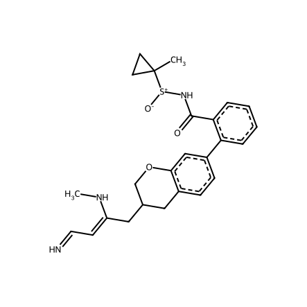 CN/C(=C\C=N)CC1COc2cc(-c3ccccc3C(=O)N[S+]([O-])C3(C)CC3)ccc2C1